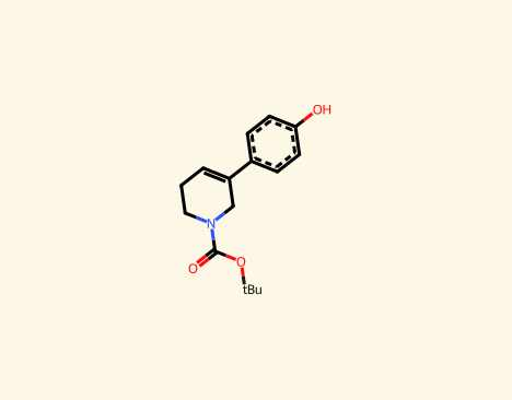 CC(C)(C)OC(=O)N1CCC=C(c2ccc(O)cc2)C1